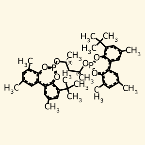 Cc1cc(C)c2op(O[C@H](C)C[C@@H](C)Op3oc4c(C)cc(C)cc4c4cc(C)cc(C(C)(C)C)c4o3)oc3c(C(C)(C)C)cc(C)cc3c2c1